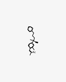 C#CC(C)(CCCc1ccccc1)c1ccc(/C=C(/C)C(C)=O)c(C)c1